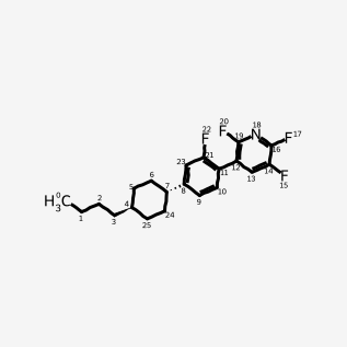 CCCC[C@H]1CC[C@H](c2ccc(-c3cc(F)c(F)nc3F)c(F)c2)CC1